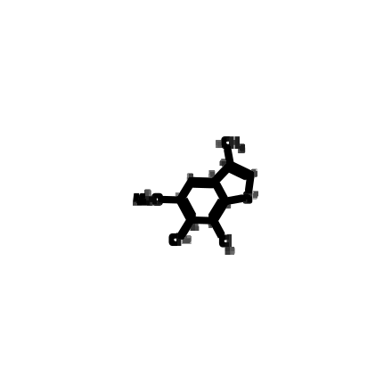 COc1cc2c(C)csc2c(Cl)c1Cl